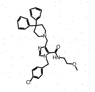 COCCNC(=O)c1c(CN2CCC(c3ccccc3)(c3ccccc3)CC2)ncn1Cc1ccc(Cl)cc1